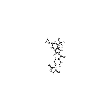 Cn1c(C(=O)N2CCC(N3C(=O)COC3=O)CC2)nc2c(C(C)(F)F)cc(C3CC3)cc21